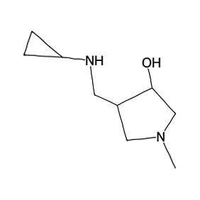 CN1CC(O)C(CNC2CC2)C1